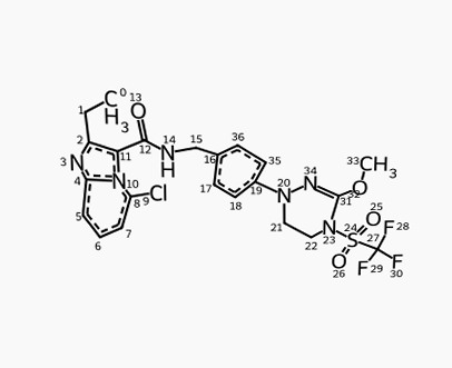 CCc1nc2cccc(Cl)n2c1C(=O)NCc1ccc(N2CCN(S(=O)(=O)C(F)(F)F)C(OC)=N2)cc1